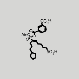 COP(=O)(OC(=O)c1cccc(C(=O)O)c1)C(=CCCCCS(=O)(=O)O)CCCC1CCCC1